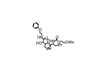 COCCOC(=O)NC(CC(C)C)C(=O)NC(CC(C)C)C(O)C(=O)NCCOc1ccccc1